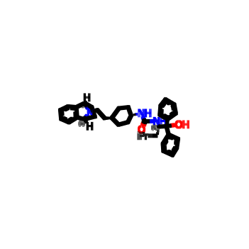 CC(C)C[C@H](NC(=O)N[C@H]1CC[C@H](CCN2[C@@H]3CC[C@H]2c2ccccc23)CC1)C(O)(c1ccccc1)c1ccccc1